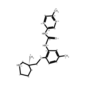 Cc1ccc(OC[C@@]2(C)CCCNC2)c(NC(=O)Nc2cnc(C)cn2)c1